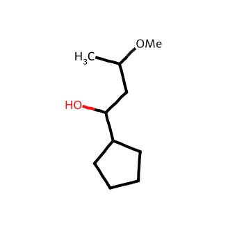 COC(C)CC(O)C1CCCC1